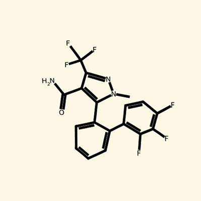 Cn1nc(C(F)(F)F)c(C(N)=O)c1-c1ccccc1-c1ccc(F)c(F)c1F